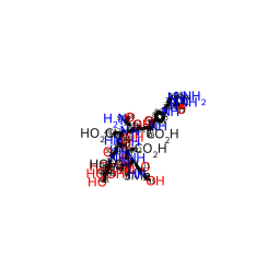 CSSC[C@@H](NC(=O)[C@H](CCC(=O)NCCO)NC(=O)[C@@H](CCC(=O)O)NC(=O)[C@H](CCC(=O)NC[C@H](O)[C@@H](O)[C@H](O)[C@H](O)CO)NC(=O)[C@@H](CCC(=O)O)NC(O)[C@H](CCC(N)=O)NC(O)CC[C@@H](NC(=O)c1ccc(NCc2cnc3nc(N)[nH]c(=O)c3n2)cc1)C(=O)O)C(=O)O